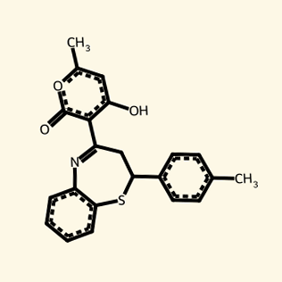 Cc1ccc(C2CC(c3c(O)cc(C)oc3=O)=Nc3ccccc3S2)cc1